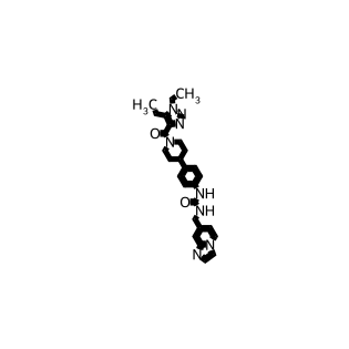 CCc1c(C(=O)N2CCC(c3ccc(NC(=O)NCc4ccn5ccnc5c4)cc3)CC2)nnn1CC